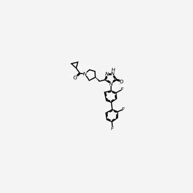 O=C(C1CC1)N1CC[C@@H](Cc2n[nH]c(=O)n2-c2ccc(-c3ccc(F)cc3F)cc2F)C1